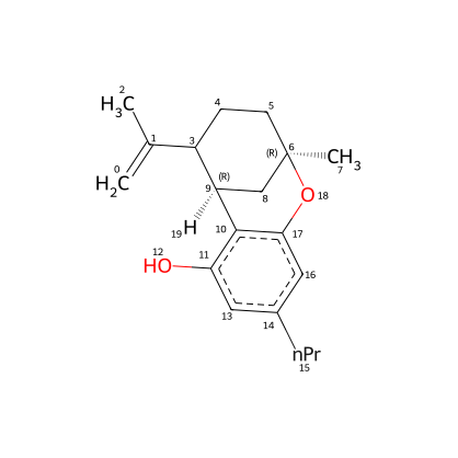 C=C(C)C1CC[C@]2(C)C[C@H]1c1c(O)cc(CCC)cc1O2